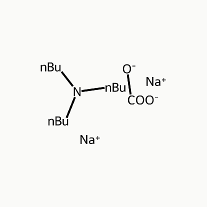 CCCCN(CCCC)CCCC.O=C([O-])[O-].[Na+].[Na+]